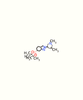 C[C@@H]1C[C@@H](n2cc3ccc(B4OC(C)(C)C(C)(C)O4)cc3n2)CN(C)C1